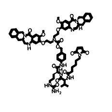 COc1cc2c(cc1OCCN(CCOc1cc3c(cc1OC)C(=O)N1Cc4ccccc4CC1CN3)C(=O)OCc1ccc(NC(=O)[C@H](CCCNC(N)=O)NC(=O)[C@@H](NC(=O)CCCCCN3C(=O)C=CC3=O)C(C)C)cc1)N=C[C@@H]1Cc3ccccc3CN1C2=O